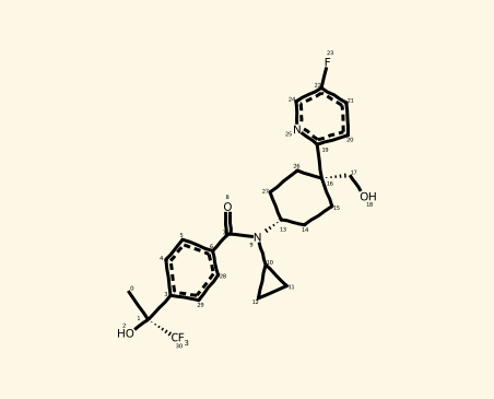 C[C@](O)(c1ccc(C(=O)N(C2CC2)[C@H]2CC[C@](CO)(c3ccc(F)cn3)CC2)cc1)C(F)(F)F